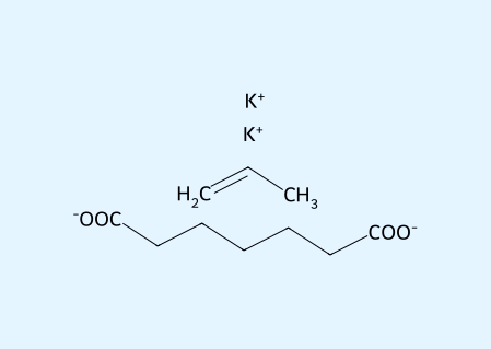 C=CC.O=C([O-])CCCCCC(=O)[O-].[K+].[K+]